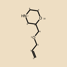 C=CCOCC1CNCCO1